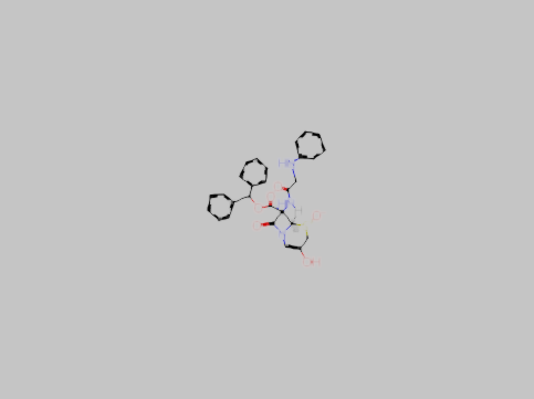 O=C(CNc1ccccc1)NC1(C(=O)OC(c2ccccc2)c2ccccc2)C(=O)N2C=C(O)C[S+]([O-])[C@H]21